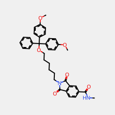 CNC(=O)c1ccc2c(c1)C(=O)N(CCCCCCOC(c1ccccc1)(c1ccc(OC)cc1)c1ccc(OC)cc1)C2=O